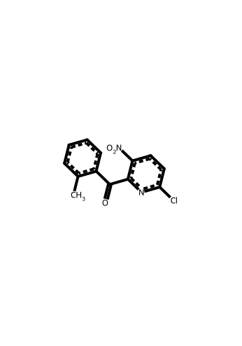 Cc1ccccc1C(=O)c1nc(Cl)ccc1[N+](=O)[O-]